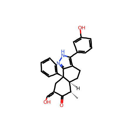 C[C@@H]1C(=O)C(=CO)C[C@]2(c3ccccc3)c3n[nH]c(-c4cccc(O)c4)c3CC[C@@H]12